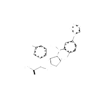 COc1ccc(-n2cnnn2)cc1N(C)[C@H]1CC[C@H](NCC(N)=O)[C@@H]1c1ccc(F)cc1